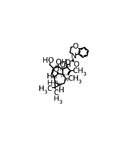 CC1=C[C@]23C(=O)[C@@H](C=C(CO)[C@@H](O)[C@]2(O)[C@H]1OC(=O)N1CCOc2ccccc21)[C@H]1[C@@H](C[C@H]3C)C1(C)C